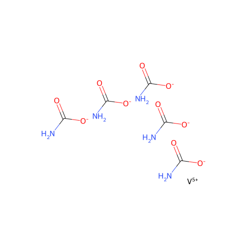 NC(=O)[O-].NC(=O)[O-].NC(=O)[O-].NC(=O)[O-].NC(=O)[O-].[V+5]